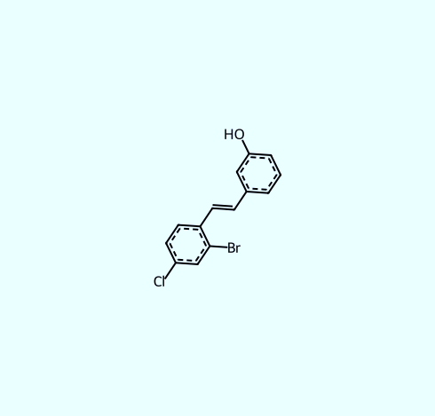 Oc1cccc(C=Cc2ccc(Cl)cc2Br)c1